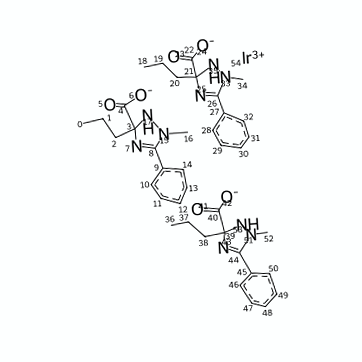 CCCC1(C(=O)[O-])N=C(c2ccccc2)N(C)N1.CCCC1(C(=O)[O-])N=C(c2ccccc2)N(C)N1.CCCC1(C(=O)[O-])N=C(c2ccccc2)N(C)N1.[Ir+3]